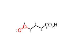 [O]OCCCC(=O)O